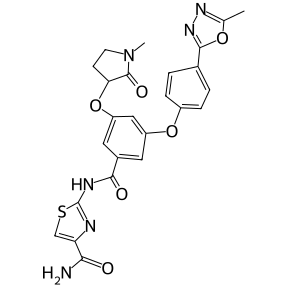 Cc1nnc(-c2ccc(Oc3cc(OC4CCN(C)C4=O)cc(C(=O)Nc4nc(C(N)=O)cs4)c3)cc2)o1